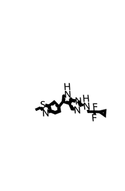 Cc1nc2ccc(-c3c[nH]c4nc(NCC(F)(F)C5CC5)ncc34)cc2s1